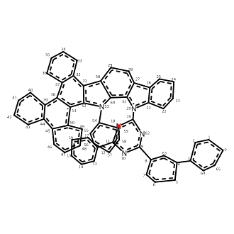 c1ccc(-c2cccc(-c3nc(-c4ccccc4)nc(-n4c5ccccc5c5ccc6c7c8ccccc8c8c9ccccc9c9ccccc9c8c7n(-c7ccccc7)c6c54)n3)c2)cc1